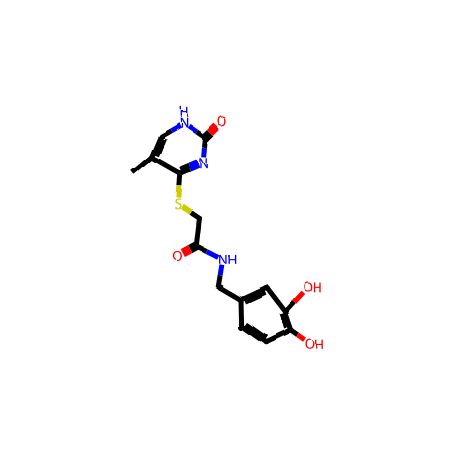 Cc1c[nH]c(=O)nc1SCC(=O)NCc1ccc(O)c(O)c1